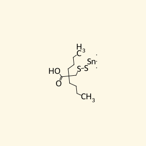 CCCCC(CCCC)(CS[S][Sn])C(=O)O